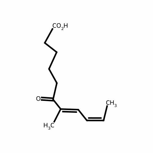 C/C=C\C=C(/C)C(=O)CCCCC(=O)O